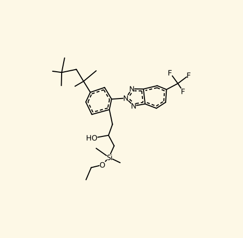 CCO[Si](C)(C)CC(O)Cc1ccc(C(C)(C)CC(C)(C)C)cc1-n1nc2ccc(C(F)(F)F)cc2n1